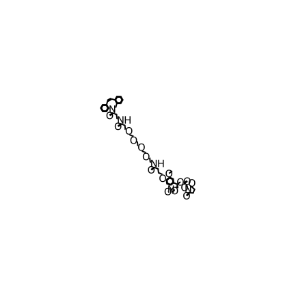 COc1cc(C(C)OC(=O)ON2C(=O)CCC2=O)c([N+](=O)[O-])cc1OCCCC(=O)NCCOCCOCCOCCOCCC(=O)NCCC(=O)N1Cc2ccccc2C#Cc2ccccc21